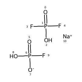 O=P(O)(F)F.O=P([O-])(O)F.[Na+]